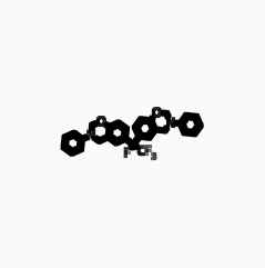 FC(F)(F)C(F)(c1ccc2c(c1)CN(c1ccccc1)CO2)c1ccc2c(c1)CN(c1ccccc1)CO2